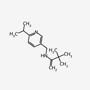 C=C(NCc1ccc(C(C)C)nc1)C(C)(C)C